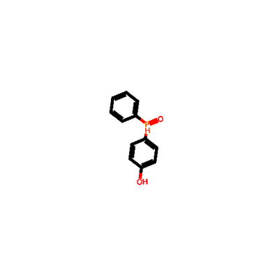 O=[PH](c1ccccc1)c1ccc(O)cc1